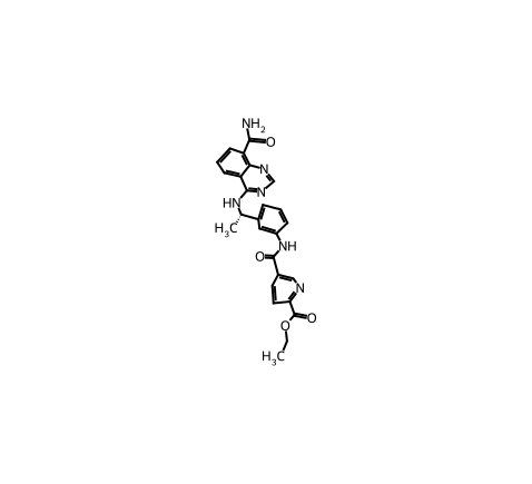 CCOC(=O)c1ccc(C(=O)Nc2cccc([C@H](C)Nc3ncnc4c(C(N)=O)cccc34)c2)cn1